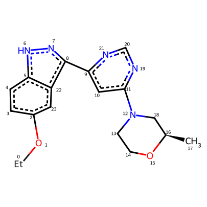 CCOc1ccc2[nH]nc(-c3cc(N4CCO[C@H](C)C4)ncn3)c2c1